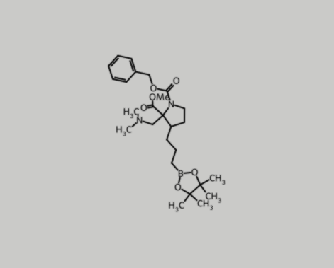 COC(=O)C1(CN(C)C)C(CCCB2OC(C)(C)C(C)(C)O2)CCN1C(=O)OCc1ccccc1